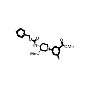 COC(=O)c1cc(F)cc(N2CC[C@@H](NC(=O)OCc3ccccc3)[C@@H](OC)C2)c1